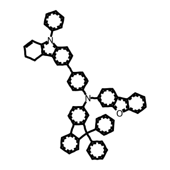 C1=Cc2c(c3cc(-c4ccc(N(c5ccc6c(c5)C(c5ccccc5)(c5ccccc5)c5ccccc5-6)c5ccc6c(c5)oc5ccccc56)cc4)ccc3n2-c2ccccc2)CC1